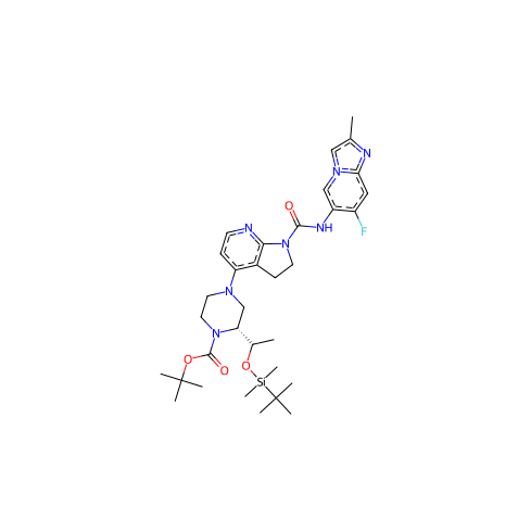 Cc1cn2cc(NC(=O)N3CCc4c(N5CCN(C(=O)OC(C)(C)C)[C@@H](C(C)O[Si](C)(C)C(C)(C)C)C5)ccnc43)c(F)cc2n1